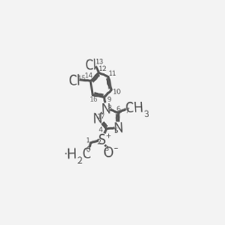 [CH2]C[S+]([O-])c1nc(C)n(-c2ccc(Cl)c(Cl)c2)n1